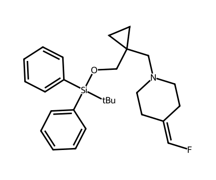 CC(C)(C)[Si](OCC1(CN2CCC(=CF)CC2)CC1)(c1ccccc1)c1ccccc1